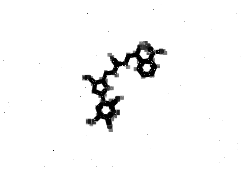 Cc1cn([C@H]2CC(O)[C@@H](COC(=S)OCC(C)c3ccccc3[N+](=O)[O-])O2)c(=O)[nH]c1=O